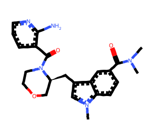 CN(C)C(=O)c1ccc2c(c1)c(C[C@H]1COCCN1C(=O)c1cccnc1N)cn2C